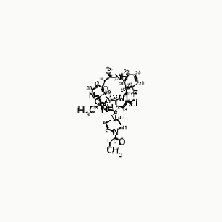 C=CC(=O)N1CCN(c2nc(=O)n3c4nc(c(Cl)cc24)-c2c(F)cccc2NC(=O)Cc2ccnc(C(C)C)c2-3)CC1